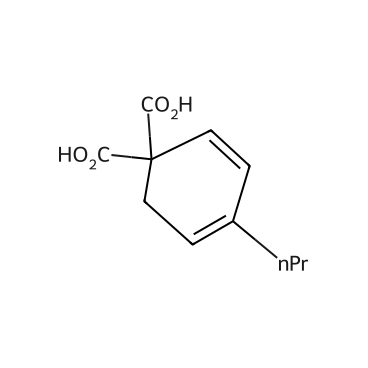 CCCC1=CCC(C(=O)O)(C(=O)O)C=C1